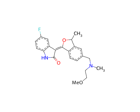 COCCN(C)Cc1ccc2c(c1)C(C)OC2=C1C(=O)Nc2ccc(F)cc21